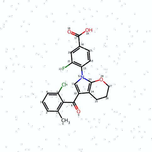 Cc1cccc(Cl)c1C(=O)c1cn(-c2ccc(C(=O)O)cc2F)c2c1CCCO2